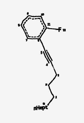 CCCCCCCCCCC#Cc1ccccc1F